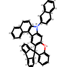 c1ccc2c(c1)Oc1cc3c(cc1C21c2ccccc2-c2ccccc21)c1c2ccccc2ccc1n3-c1ccc2ccccc2c1